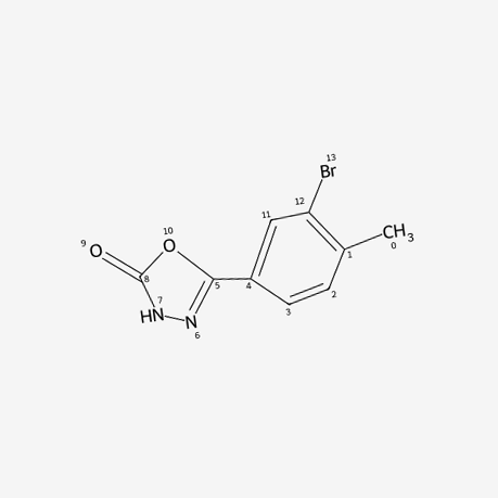 Cc1ccc(-c2n[nH]c(=O)o2)cc1Br